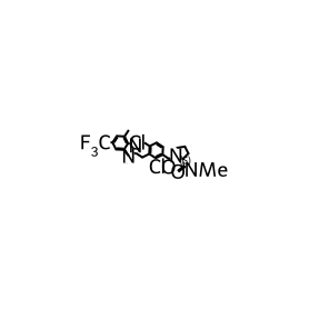 CNC(=O)[C@@H]1CCCN1C(=O)c1ccc(Cl)c(Cc2nc3c(C)cc(C(F)(F)F)cc3n2C)c1Cl